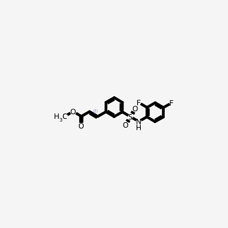 COC(=O)/C=C/c1cccc(S(=O)(=O)Nc2ccc(F)cc2F)c1